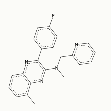 Cc1cccc2nc(-c3ccc(F)cc3)c(N(C)Cc3ccccn3)nc12